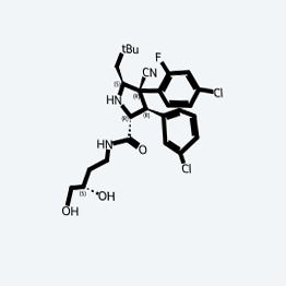 CC(C)(C)C[C@@H]1N[C@@H](C(=O)NCC[C@H](O)CO)[C@H](c2cccc(Cl)c2)[C@@]1(C#N)c1ccc(Cl)cc1F